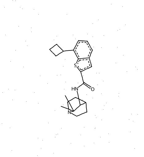 CC1(C)C(NC(=O)c2cc3cccc(C4CCC4)c3s2)C2CCN1CC2